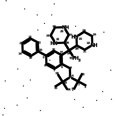 CC(C)(C)P(Cc1ccc(-c2ccccc2)cc1C(P)(C1CNCCN1)C1CNCCN1)C(C)(C)C